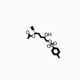 C#C[C@H](CC[C@@H](O)COS(=O)(=O)c1ccc(C)cc1)OC(C)=O